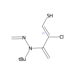 C=NN(C(=C)/C(Cl)=C/S)C(C)(C)C